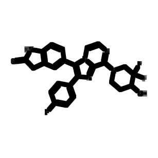 O=C1Cc2cc(-c3c(-c4ccc(F)cc4)nc4c(N5CCC(O)C(F)(F)C5)nccn34)ccc2N1